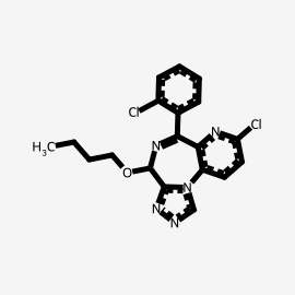 CCCCOC1N=C(c2ccccc2Cl)c2nc(Cl)ccc2-n2cnnc21